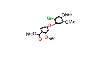 COC(=O)c1ccc(OCc2cc(OC)c(OC)cc2Br)cc1OC(C)C